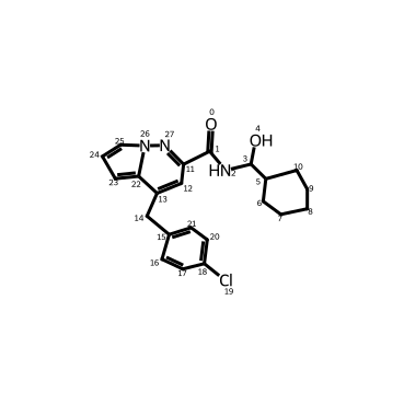 O=C(NC(O)C1CCCCC1)c1cc(Cc2ccc(Cl)cc2)c2cccn2n1